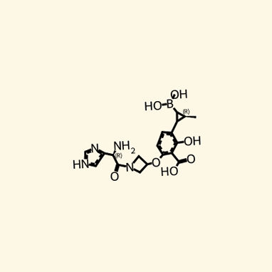 C[C@@H]1C(B(O)O)C1c1ccc(OC2CN(C(=O)[C@H](N)c3c[nH]cn3)C2)c(C(=O)O)c1O